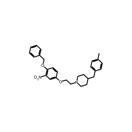 Cc1ccc(CC2CCN(CCOc3ccc(OCc4ccccc4)c([N+](=O)[O-])c3)CC2)cc1